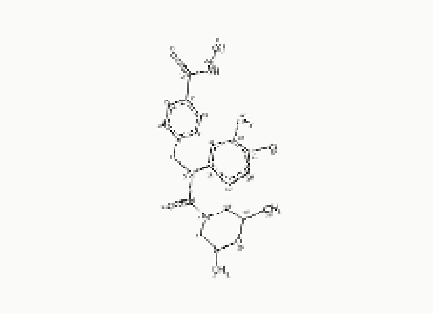 CC1CN(C(=O)N(Cc2ccc(C(=O)NO)cc2)c2ccc(Cl)c(C(F)(F)F)c2)CC(C)O1